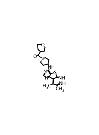 CC(=N)/C(C)=C1\C(=N)Sc2c(NC3CCN(C(=O)C4CCOCC4)CC3)ncnc21